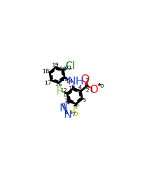 COC(=O)c1cc2snnc2c(F)c1Nc1ccccc1Cl